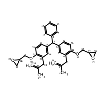 C=C(C)Cc1cc(C(c2ccccc2)c2ccc(OCC3CO3)c(CC(=C)C)c2)ccc1OCC1CO1